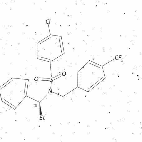 CC[C@@H](c1ccccc1)N(Cc1ccc(C(F)(F)F)cc1)S(=O)(=O)c1ccc(Cl)cc1